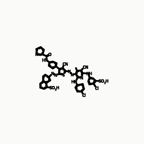 Cc1c(C#N)c(Nc2ccc(Cl)c(S(=O)(=O)O)c2)nc(Nc2ccc(Cl)cc2)c1N=Nc1sc(N=Nc2ccc3cccc(S(=O)(=O)O)c3c2)c(-c2ccc(NC(=O)c3cccnc3)cc2)c1C#N